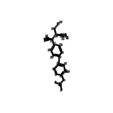 CN(C)Cc1ccc(-c2ccc([C@@H](O)[C@H](N)CF)cc2)cn1